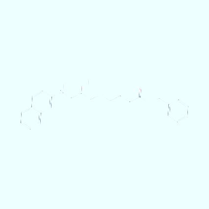 O=C(CCCOCC(O)CNc1ccc2ccccc2c1)OCc1ccccc1